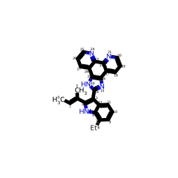 C/C=C(\C)c1[nH]c2c(CC)cccc2c1-c1nc2c3cccnc3c3ncccc3c2[nH]1